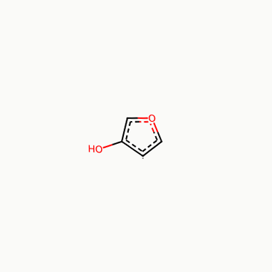 Oc1[c]coc1